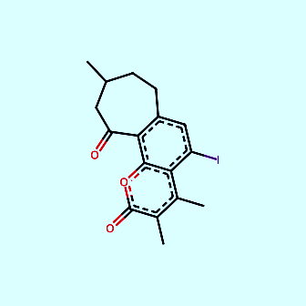 Cc1c(C)c2c(I)cc3c(c2oc1=O)C(=O)CC(C)CC3